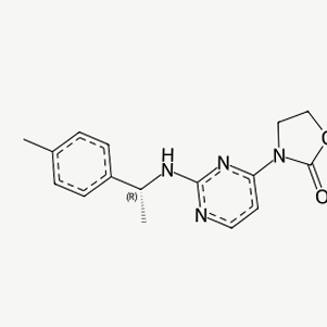 Cc1ccc([C@@H](C)Nc2nccc(N3CCOC3=O)n2)cc1